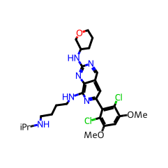 COc1cc(OC)c(Cl)c(-c2cc3cnc(NC4CCCOC4)nc3c(NCCCCNC(C)C)n2)c1Cl